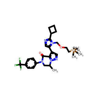 CC1CN(c2ccc(C(F)(F)F)cc2)C(=O)c2c(-c3cnc(C4CCC4)n3COCC[SH](C)(C)(C)C)cnn21